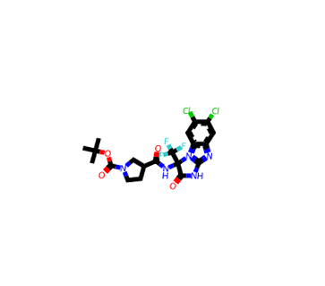 CC(C)(C)OC(=O)N1CCC(C(=O)NC2(C(F)(F)F)C(=O)Nc3nc4cc(Cl)c(Cl)cc4n32)C1